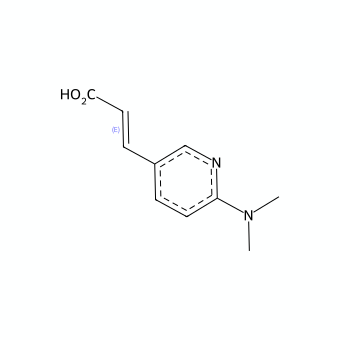 CN(C)c1ccc(/C=C/C(=O)O)cn1